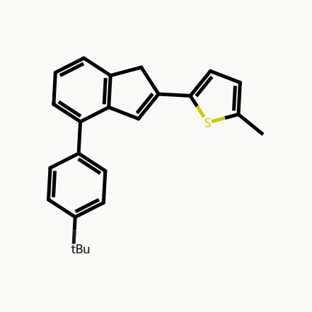 Cc1ccc(C2=Cc3c(cccc3-c3ccc(C(C)(C)C)cc3)C2)s1